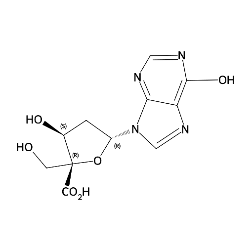 O=C(O)[C@]1(CO)O[C@@H](n2cnc3c(O)ncnc32)C[C@@H]1O